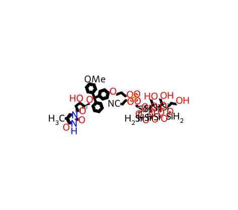 COc1ccc(C(OC[C@H]2O[C@@H](n3cc(C)c(=O)[nH]c3=O)CC2O)(c2ccccc2)c2ccc(OCCCOP(=O)(OCCC#N)OC[SiH]3O[SiH2]O[SiH]4O[SiH]5O[SiH2]O[SiH](CCO)O[Si](CCO)(O5)O[Si](CCO)(O3)O4)cc2)cc1